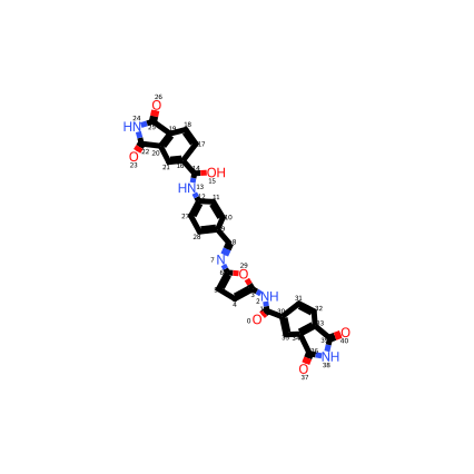 O=C(Nc1ccc(/N=C/c2ccc(NC(O)c3ccc4c(c3)C(=O)NC4=O)cc2)o1)c1ccc2c(c1)C(=O)NC2=O